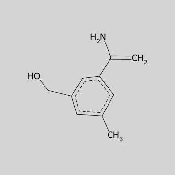 C=C(N)c1cc(C)cc(CO)c1